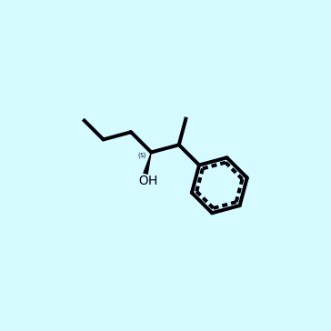 CCC[C@H](O)C(C)c1ccccc1